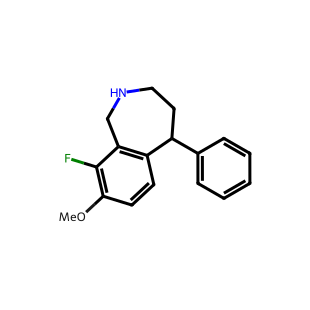 COc1ccc2c(c1F)CNCCC2c1ccccc1